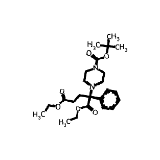 CCOC(=O)CCC(C(=O)OCC)(c1ccccc1)N1CCN(C(=O)OC(C)(C)C)CC1